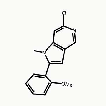 COc1ccccc1-c1cc2cnc(Cl)cc2n1C